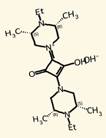 CCN1[C@H](C)CN(c2c(O)c(=[N+]3C[C@@H](C)N(CC)[C@@H](C)C3)c2=O)C[C@@H]1C.[OH-]